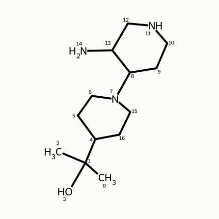 CC(C)(O)C1CCN(C2CCNCC2N)CC1